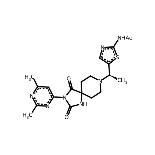 CC(=O)Nc1ncc([C@@H](C)N2CCC3(CC2)NC(=O)N(c2cc(C)nc(C)n2)C3=O)s1